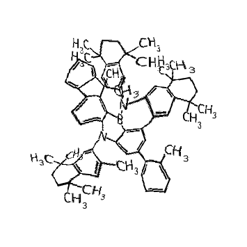 Cc1ccccc1-c1cc2c3c(c1)N(c1cc4c(cc1C)C(C)(C)CCC4(C)C)c1ccc4c(c1B3N(c1ccc3c(c1)C(C)(C)CCC3(C)C)c1cc3c(cc1-2)C(C)(C)CCC3(C)C)C(C)(C)c1ccccc1-4